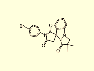 CC1(C)CN2c3ccccc3C3(CC(=O)N(c4ccc(Br)cc4)C3=O)N2C1=O